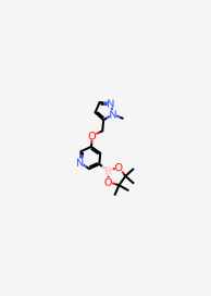 Cn1nccc1COc1cncc(B2OC(C)(C)C(C)(C)O2)c1